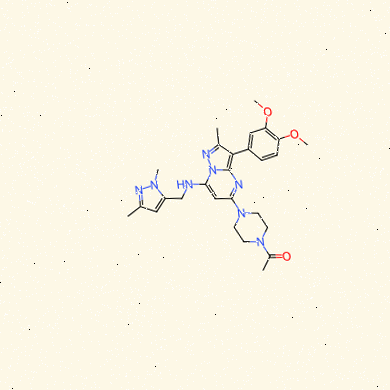 COc1ccc(-c2c(C)nn3c(NCc4cc(C)nn4C)cc(N4CCN(C(C)=O)CC4)nc23)cc1OC